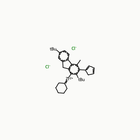 Cc1c(C2=CC=CC2)c(C(C)(C)C)[c]([Zr+2]=[C]2CCCCC2)c2c1-c1ccc(C(C)(C)C)cc1C2.[Cl-].[Cl-]